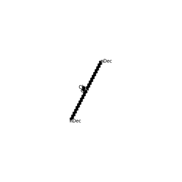 CCCCCCCCCCCCCCCCCCCCCCCCCCCCCCN(CCCCCCCCCCCCCCCCCCCCCCCCCCCCCC)C(=O)CCl